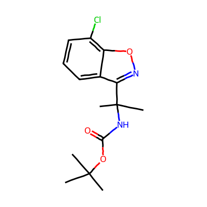 CC(C)(C)OC(=O)NC(C)(C)c1noc2c(Cl)cccc12